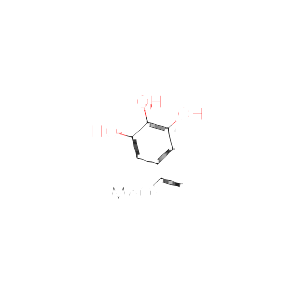 C=COC.Oc1cccc(O)c1O